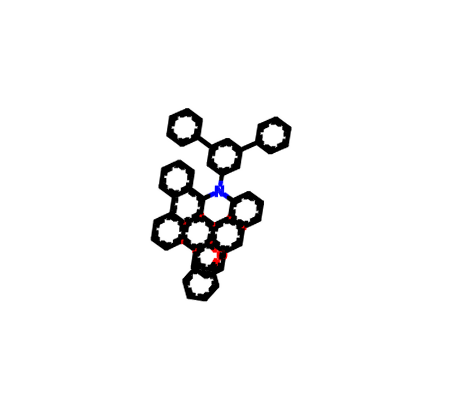 c1ccc(-c2cc(-c3ccccc3)cc(N(c3ccccc3-c3cccc4c3oc3ccccc34)c3c(-c4cccc5ccccc45)c4ccccc4c4ccccc34)c2)cc1